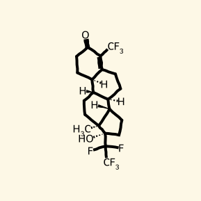 C[C@]12CC[C@H]3[C@@H](CCC4=C(C(F)(F)F)C(=O)CC[C@@H]43)[C@@H]1CC[C@@]2(O)C(F)(F)C(F)(F)F